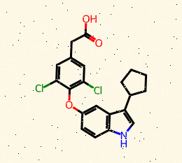 O=C(O)Cc1cc(Cl)c(Oc2ccc3[nH]cc(C4CCCC4)c3c2)c(Cl)c1